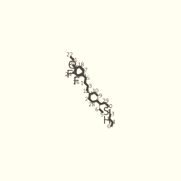 CCCC[Si@H]1CC[C@H]([C@H]2CC[C@H](CCCCc3ccc(OCC)c(F)c3F)CC2)CC1